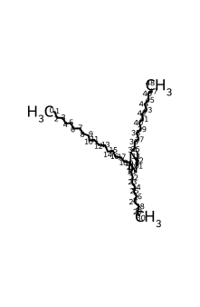 CCCCCCCCCCCCCCCCCCCC1N(CCCCCCCCCC)C=CN1CCCCCCCCCCCCCCC